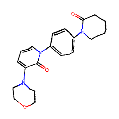 O=C1CCCCN1c1ccc(-n2cccc(N3CCOCC3)c2=O)cc1